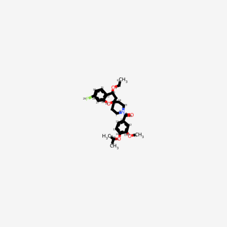 CCOC1CC2(CCN(C(=O)c3ccc(OC(C)C)c(OC)c3)CC2)Oc2cc(F)ccc21